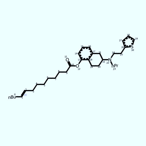 CCCC/C=C/CCCCCCCC(=O)Oc1cccc2c1CCC(N(CCC)CCc1cccs1)C2